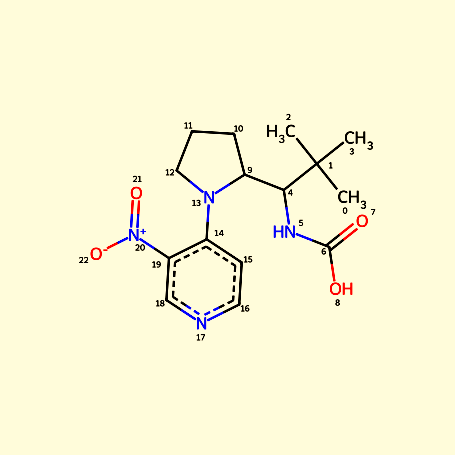 CC(C)(C)C(NC(=O)O)C1CCCN1c1ccncc1[N+](=O)[O-]